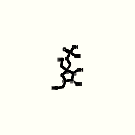 O=P(O)(O)OC[C@@]1(CO)O[C@H](CO)[C@@H](O)[C@@H]1O